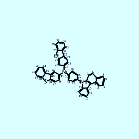 c1ccc2c(c1)ccc1c2c2ccccc2n1-c1ccc(N(c2ccc3c(c2)oc2ccccc23)c2ccc3sc4ccccc4c3c2)cc1